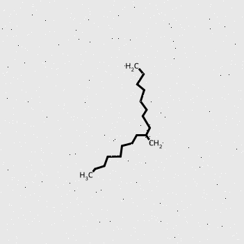 [CH2]CCCCCCCC([CH2])CCCCCCCC